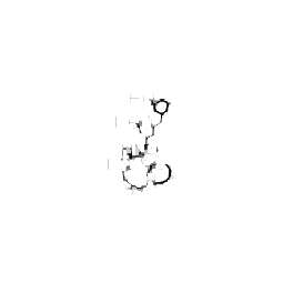 O=C(O)C[C@@H](CCCc1cccc(O)c1)C(=O)NC1Cc2ccccccn(c2)CCC(=O)CCNC1=O